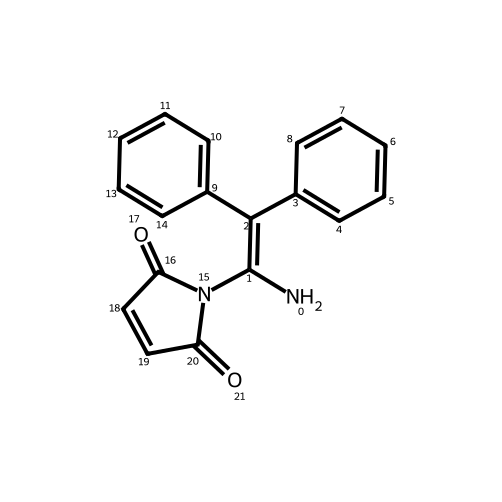 NC(=C(c1ccccc1)c1ccccc1)N1C(=O)C=CC1=O